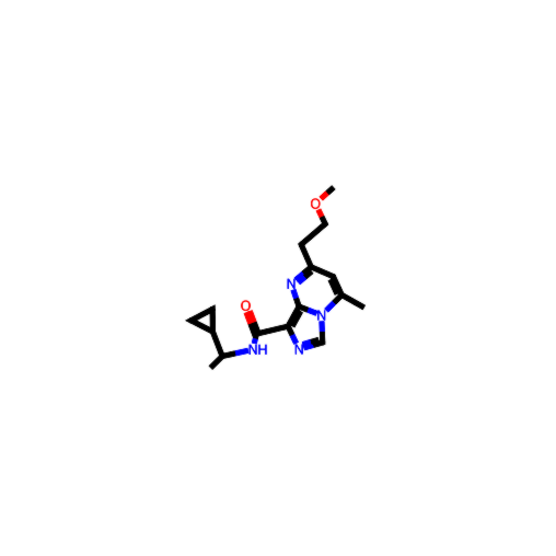 COCCc1cc(C)n2cnc(C(=O)NC(C)C3CC3)c2n1